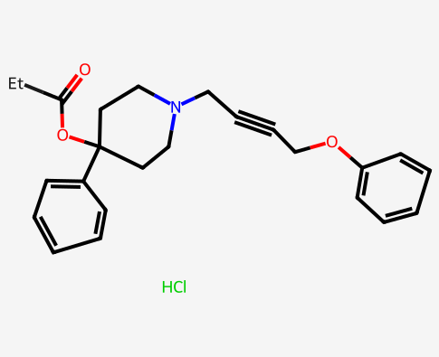 CCC(=O)OC1(c2ccccc2)CCN(CC#CCOc2ccccc2)CC1.Cl